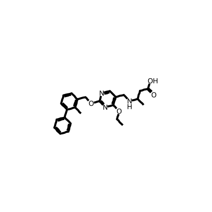 CCOc1nc(OCc2cccc(-c3ccccc3)c2C)ncc1CNC(C)CC(=O)O